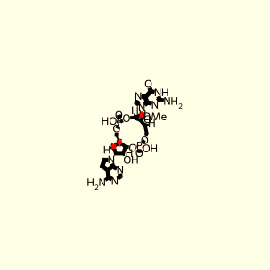 CO[C@H]1[C@H]2OP(=O)(O)OC[C@@]34CC[C@@H]3[C@@H](n3ccc5c(N)ncnc53)[C@H](O)[C@@H]4OP(=O)(O)OC[C@H]1O[C@H]2n1cnc2c(=O)[nH]c(N)nc21